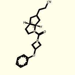 N#CCCC1C[C@H]2CCN(C(=O)N3CC(Oc4ccccc4)C3)[C@H]2C1